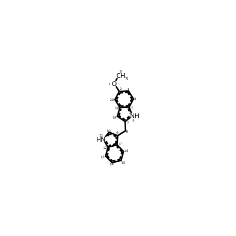 COc1ccc2[nH]c(Cc3c[nH]c4ccccc34)cc2c1